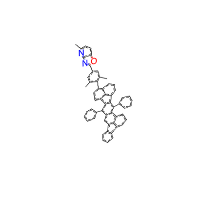 Cc1ccc2oc(-c3cc(C)c(-c4ccc5c6c(-c7ccccc7)c7cc8c9ccccc9c9cccc(c7c(-c7ccccc7)c6c6cccc4c56)c98)c(C)c3)nc2n1